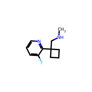 CNCC1(c2ncccc2F)CCC1